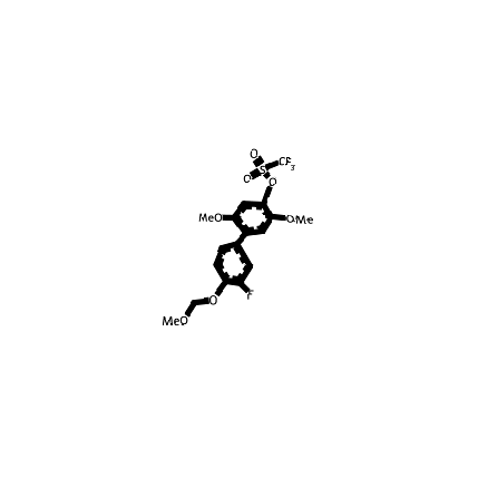 COCOc1ccc(-c2cc(OC)c(OS(=O)(=O)C(F)(F)F)cc2OC)cc1F